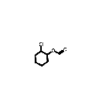 O=COC1CCCCC1Cl